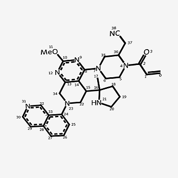 C=CC(=O)N1CCN(c2nc(OC)nc3c2C(C2(C)CCCN2)CN(c2cccc4ccncc24)C3)CC1CC#N